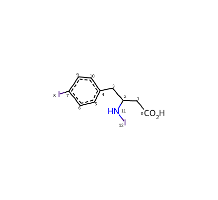 O=C(O)CC(Cc1ccc(I)cc1)NI